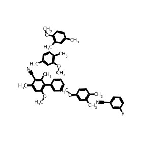 COc1cc(C)c(C#N)c(C)c1-c1ccccc1.COc1cc(C)ccc1C.COc1ccc(C)c(C)c1.COc1ccc(C)cc1C.N#Cc1cccc(F)c1